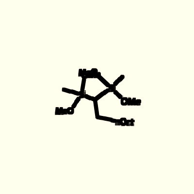 CCCCCCCCCC([Si](C)(OC)OC)[Si](C)(OC)OC